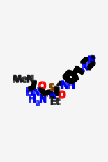 CCN1C(=O)[C@@H](CNc2ccc(CCN3CCN(C)CC3)cc2)SC1[C@H](N)C(=O)NC(C)CNC